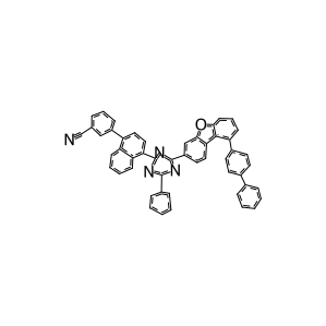 N#Cc1cccc(-c2ccc(-c3nc(-c4ccccc4)nc(-c4ccc5c(c4)oc4cccc(-c6ccc(-c7ccccc7)cc6)c45)n3)c3ccccc23)c1